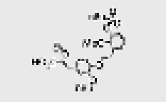 CCCCOc1cc(C=C(OCC)C(=O)O)ccc1OCCc1cccc(OS(=O)(=O)CCCC)c1OC